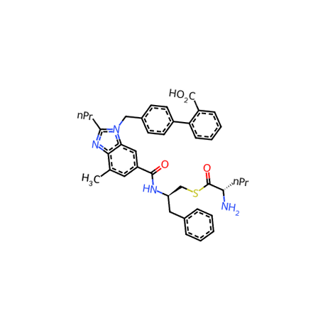 CCCc1nc2c(C)cc(C(=O)N[C@@H](CSC(=O)[C@@H](N)CCC)Cc3ccccc3)cc2n1Cc1ccc(-c2ccccc2C(=O)O)cc1